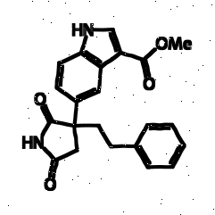 COC(=O)c1c[nH]c2ccc(C3(CCc4ccccc4)CC(=O)NC3=O)cc12